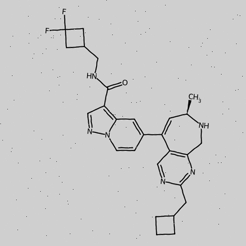 C[C@@H]1C=C(c2ccn3ncc(C(=O)NCC4CC(F)(F)C4)c3c2)c2cnc(CC3CCC3)nc2CN1